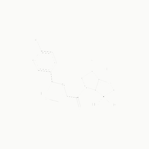 CC(C)C[C@H](NC(c1ccc(Br)cc1)C(F)(F)F)C(=O)N1C[C@H](F)[C@H]2OCC(O)(O)[C@H]21